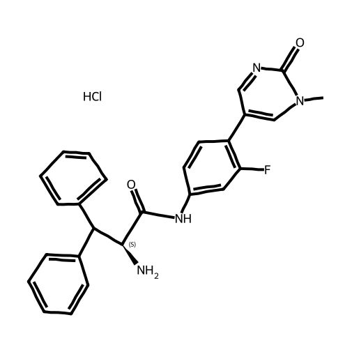 Cl.Cn1cc(-c2ccc(NC(=O)[C@@H](N)C(c3ccccc3)c3ccccc3)cc2F)cnc1=O